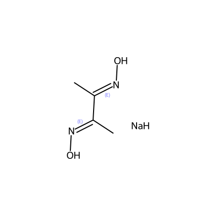 CC(=N\O)/C(C)=N/O.[NaH]